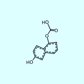 O=C(O)Oc1cccc2cc(O)ccc12